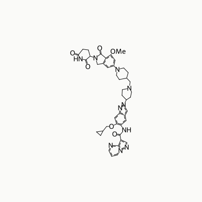 COc1cc(N2CCC(CN3CCC(n4cc5cc(NC(=O)c6cnn7cccnc67)c(OCC6CC6)cc5n4)CC3)CC2)cc2c1C(=O)N(C1CCC(=O)NC1=O)C2